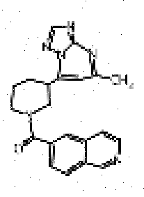 Cc1cc(C2CCCN(C(=O)c3ccc4cnccc4c3)C2)n2ncnc2n1